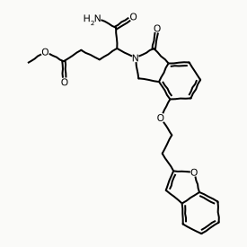 COC(=O)CCC(C(N)=O)N1Cc2c(OCCc3cc4ccccc4o3)cccc2C1=O